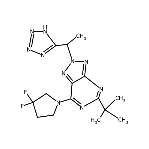 CC(c1nnn[nH]1)n1nc2nc(C(C)(C)C)nc(N3CCC(F)(F)C3)c2n1